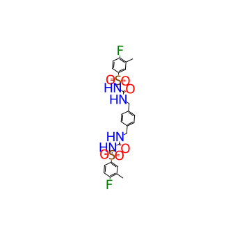 Cc1cc(S(=O)(=O)NC(=O)NCc2ccc(CNC(=O)NS(=O)(=O)c3ccc(F)c(C)c3)cc2)ccc1F